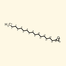 CCCCCCCCCCCCCCCCC1[CH]O1